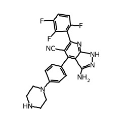 N#Cc1c(-c2c(F)ccc(F)c2F)nc2[nH]nc(N)c2c1-c1ccc(N2CCNCC2)cc1